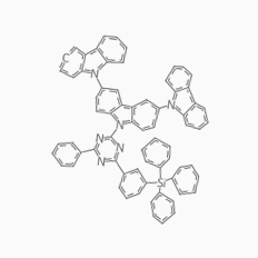 c1ccc(-c2nc(-c3cccc([Si](c4ccccc4)(c4ccccc4)c4ccccc4)c3)nc(-n3c4ccc(-n5c6ccccc6c6ccccc65)cc4c4cc(-n5c6ccccc6c6ccccc65)ccc43)n2)cc1